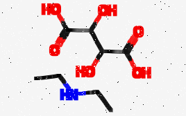 CCNCC.O=C(O)C(O)C(O)C(=O)O